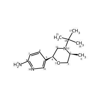 C[C@H]1CO[C@@H](c2ccc(N)nc2)CN1C(C)(C)C